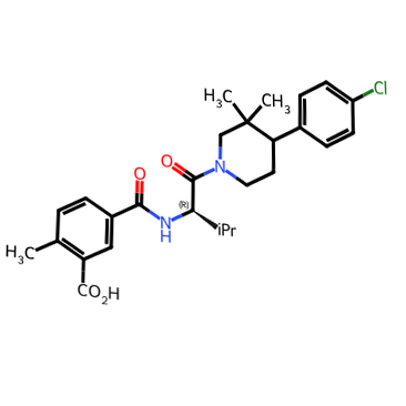 Cc1ccc(C(=O)N[C@@H](C(=O)N2CCC(c3ccc(Cl)cc3)C(C)(C)C2)C(C)C)cc1C(=O)O